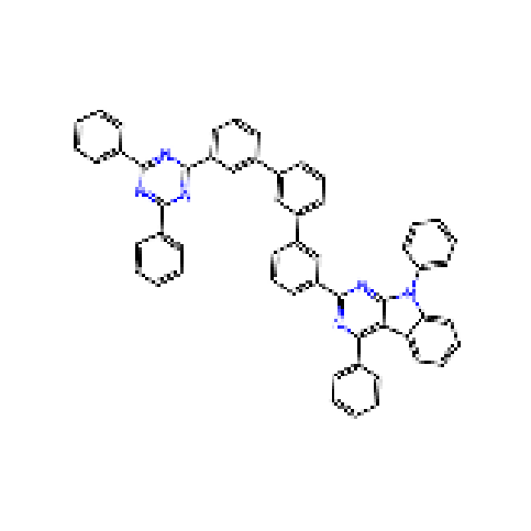 c1ccc(-c2nc(-c3ccccc3)nc(-c3cccc(-c4cccc(-c5cccc(-c6nc(-c7ccccc7)c7c8ccccc8n(-c8ccccc8)c7n6)c5)c4)c3)n2)cc1